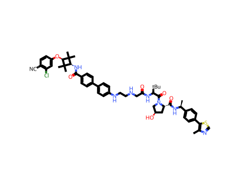 Cc1ncsc1-c1ccc([C@H](C)NC(=O)[C@@H]2C[C@@H](O)CN2C(=O)C(NC(=O)CNCCNc2ccc(-c3ccc(C(=O)N[C@H]4C(C)(C)[C@H](Oc5ccc(C#N)c(Cl)c5)C4(C)C)cc3)cc2)C(C)(C)C)cc1